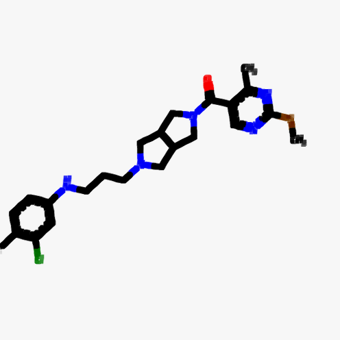 CSc1ncc(C(=O)N2CC3CN(CCCNc4ccc(C)c(Cl)c4)CC3C2)c(C)n1